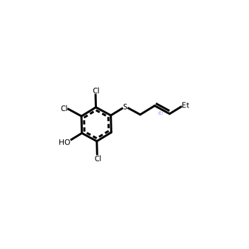 CC/C=C/CSc1cc(Cl)c(O)c(Cl)c1Cl